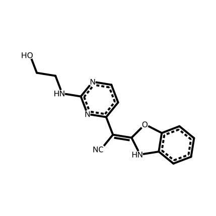 N#C/C(=C1\Nc2ccccc2O1)c1ccnc(NCCO)n1